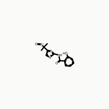 CC(C)([S+]=O)c1cnc(NC(=O)c2ccccc2O)s1